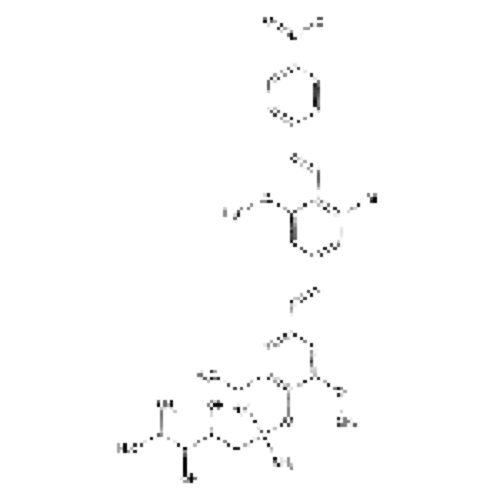 CCc1cc(/C=C/c2cc(O)c(/C=C/c3ccc([N+](=O)[O-])cc3)c(OC)c2)cc(OC)c1OC(C)(C)C[C@@H](O)[C@@H](O)C(C)C